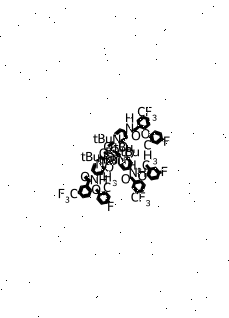 Cc1cc(F)ccc1Oc1ccc(C(F)(F)F)cc1C(=O)Nc1ccn(C(OP(=O)(OC(n2ccc(NC(=O)c3cc(C(F)(F)F)ccc3Oc3ccc(F)cc3C)cc2=O)(C(C)(C)C)C(C)(C)C)OC(n2ccc(NC(=O)c3cc(C(F)(F)F)ccc3Oc3ccc(F)cc3C)cc2=O)(C(C)(C)C)C(C)(C)C)(C(C)(C)C)C(C)(C)C)c(=O)c1